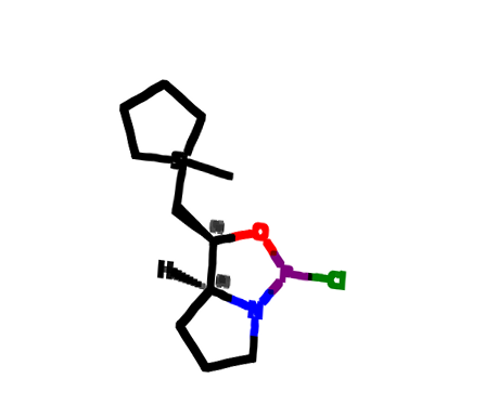 C[Si]1(C[C@H]2OP(Cl)N3CCC[C@@H]23)CCCC1